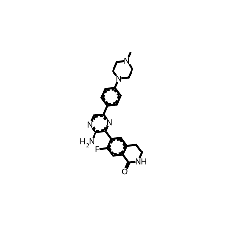 CN1CCN(c2ccc(-c3cnc(N)c(-c4cc5c(cc4F)C(=O)NCC5)n3)cc2)CC1